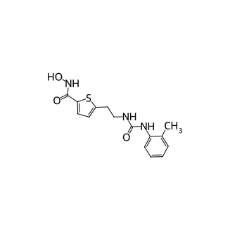 Cc1ccccc1NC(=O)NCCc1ccc(C(=O)NO)s1